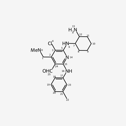 CNCc1c(Cl)c(NC2CCCCC2N)nc(Nc2cccc(C)c2)c1C=O